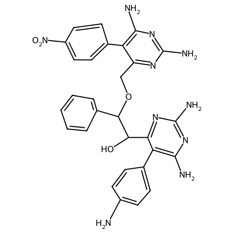 Nc1ccc(-c2c(N)nc(N)nc2C(O)C(OCc2nc(N)nc(N)c2-c2ccc([N+](=O)[O-])cc2)c2ccccc2)cc1